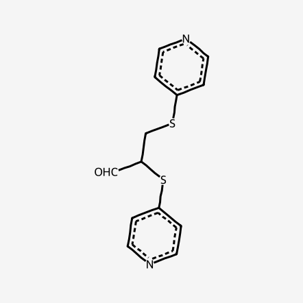 O=CC(CSc1ccncc1)Sc1ccncc1